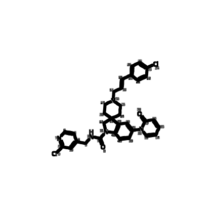 O=C(NCc1ccnc(Cl)c1)N1CC2(CCN(CC=Cc3ccc(Cl)cc3)CC2)c2cc(-n3ccccc3=O)ccc21